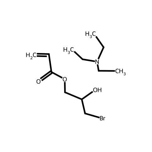 C=CC(=O)OCC(O)CBr.CCN(CC)CC